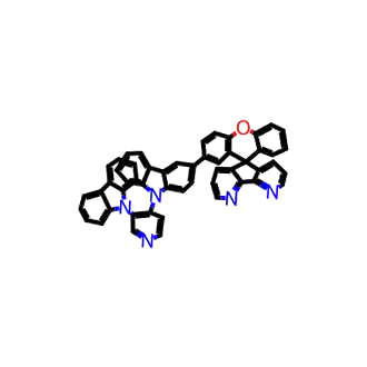 c1ccc2c(c1)Oc1ccc(-c3ccc4c(c3)c3ccccc3n4-c3ccncc3-n3c4ccccc4c4ccccc43)cc1C21c2cccnc2-c2ncccc21